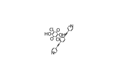 C(#Cc1ccc(C#Cc2ccncc2)cc1)c1ccncc1.O=C1C(O)=C(Cl)C(=O)C(O)=C1Cl